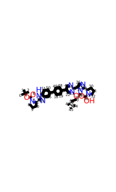 CC(C)(C)OC(=O)N1CCC[C@H]1c1nc2cc(-c3ccc(-c4cnc(-c5cnc([C@@H]6CCCN6C(=O)O)n5COCC[Si](C)(C)C)nc4)cc3)ccc2[nH]1